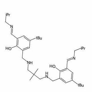 CC(C)C/N=C/c1cc(C(C)(C)C)cc(CNCC(C)(C)CNCc2cc(C(C)(C)C)cc(/C=N/CC(C)C)c2O)c1O